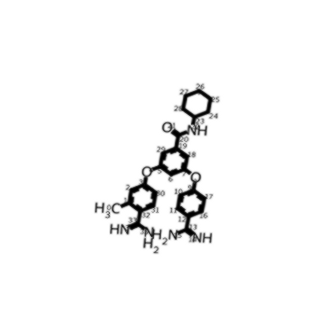 Cc1cc(Oc2cc(Oc3ccc(C(=N)N)cc3)cc(C(=O)NC3CC[CH]CC3)c2)ccc1C(=N)N